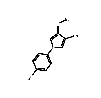 CCOc1cn(-c2ccc(C(=O)O)cc2)cc1C#N